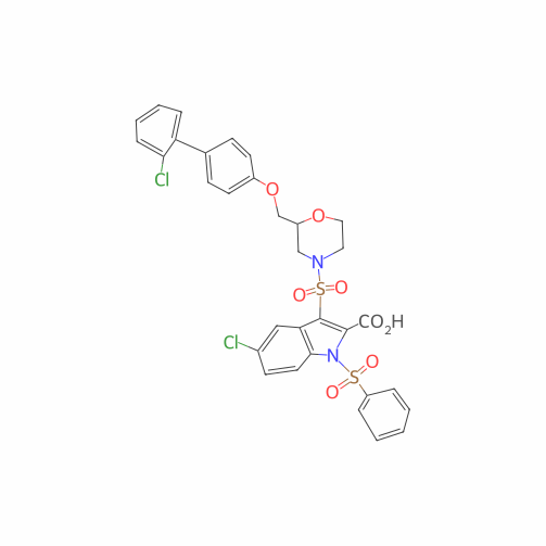 O=C(O)c1c(S(=O)(=O)N2CCOC(COc3ccc(-c4ccccc4Cl)cc3)C2)c2cc(Cl)ccc2n1S(=O)(=O)c1ccccc1